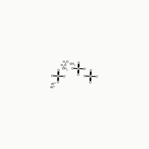 O.O.O.O.O=S(=O)([O-])[O-].O=S(=O)([O-])[O-].O=S(=O)([O-])[O-].[Al+3].[Al+3]